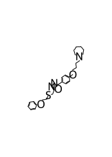 c1ccc(OCCSCc2nnc(-c3ccc(OCCCCN4CCCCCC4)cc3)o2)cc1